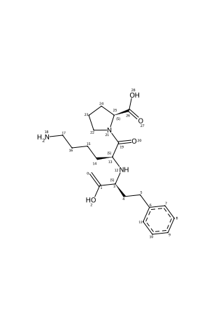 C=C(O)[C@H](CCc1ccccc1)N[C@@H](CCCCN)C(=O)N1CCC[C@H]1C(=O)O